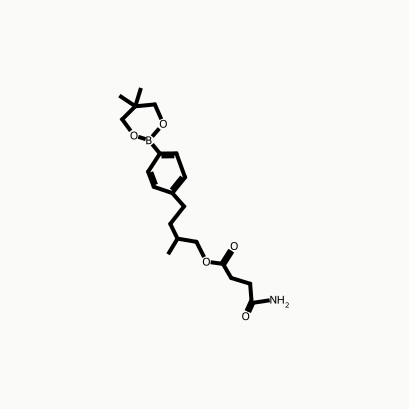 CC(CCc1ccc(B2OCC(C)(C)CO2)cc1)COC(=O)CCC(N)=O